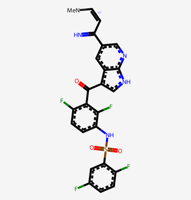 CN/C=C\C(=N)c1cnc2[nH]cc(C(=O)c3c(F)ccc(NS(=O)(=O)c4cc(F)ccc4F)c3F)c2c1